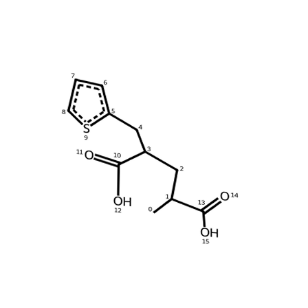 CC(CC(Cc1cccs1)C(=O)O)C(=O)O